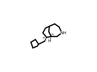 C1CCC(C[C@H]2CCC3CCNC[C@@H]2C3)C1